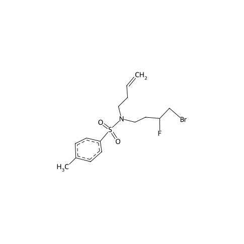 C=CCCN(CCC(F)CBr)S(=O)(=O)c1ccc(C)cc1